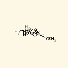 CCNNS(=O)(=O)c1cc2c(s1)S(=O)(=O)N(CCOCCOC)CC2